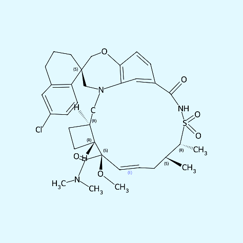 CO[C@]1(C(=O)N(C)C)/C=C/C[C@H](C)[C@@H](C)S(=O)(=O)NC(=O)c2ccc3c(c2)N(C[C@@H]2CC[C@H]21)C[C@@]1(CCCc2cc(Cl)ccc21)CO3